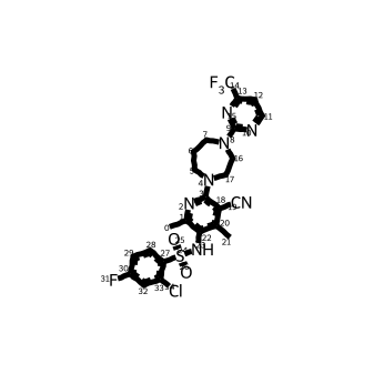 Cc1nc(N2CCCN(c3nccc(C(F)(F)F)n3)CC2)c(C#N)c(C)c1NS(=O)(=O)c1ccc(F)cc1Cl